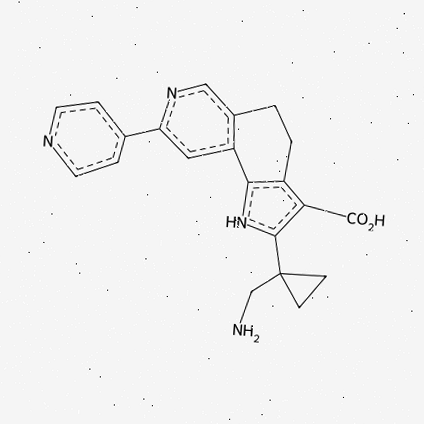 NCC1(c2[nH]c3c(c2C(=O)O)CCc2cnc(-c4ccncc4)cc2-3)CC1